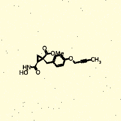 CC#CCOc1ccc(C[C@]2(C(=O)OC)C[C@@H]2C(=O)NO)cc1